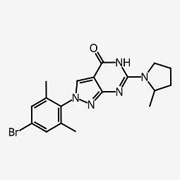 Cc1cc(Br)cc(C)c1-n1cc2c(=O)[nH]c(N3CCCC3C)nc2n1